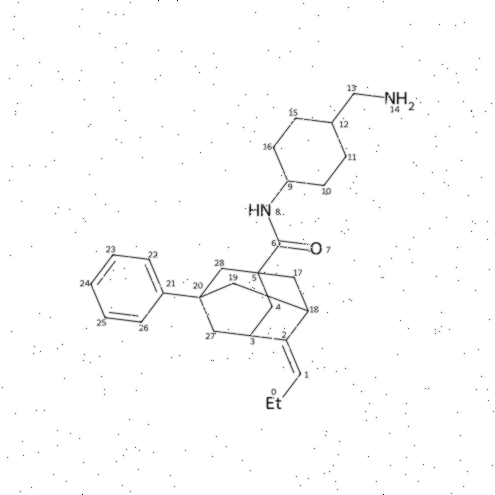 CCC=C1C2CC3(C(=O)NC4CCC(CN)CC4)CC1CC(c1ccccc1)(C2)C3